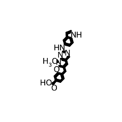 Cn1c(=O)c(Cc2ccc(C(=O)O)cc2)cc2cnc(Nc3ccc4[nH]ccc4c3)nc21